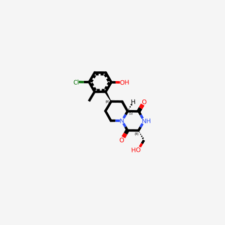 Cc1c(Cl)ccc(O)c1[C@@H]1CCN2C(=O)[C@@H](CO)NC(=O)[C@@H]2C1